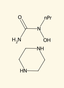 C1CNCCN1.CCCN(O)C(N)=O